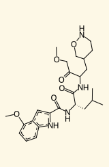 COCC(=O)C(CC1CCNOC1)NC(=O)[C@H](CC(C)C)NC(=O)c1cc2c(OC)cccc2[nH]1